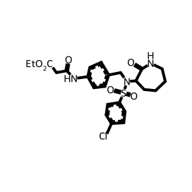 CCOC(=O)CC(=O)Nc1ccc(CN(C2CCCCNC2=O)S(=O)(=O)c2ccc(Cl)cc2)cc1